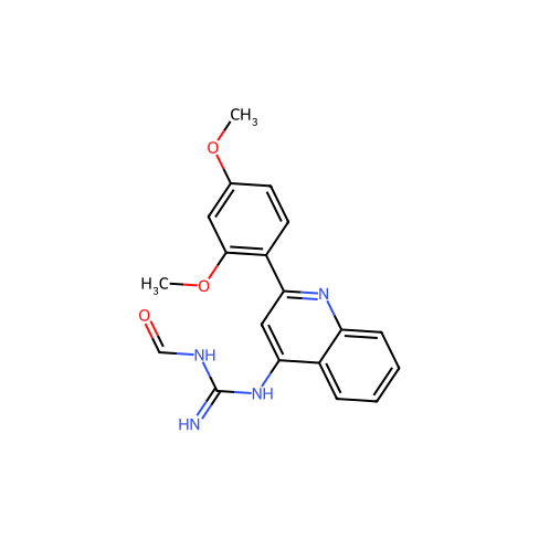 COc1ccc(-c2cc(NC(=N)NC=O)c3ccccc3n2)c(OC)c1